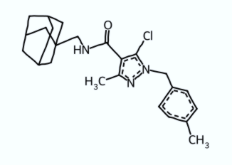 Cc1ccc(Cn2nc(C)c(C(=O)NCC34CC5CC(CC(C5)C3)C4)c2Cl)cc1